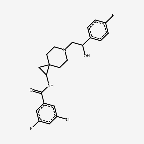 O=C(NC1CC12CCN(CC(O)c1ccc(F)cc1)CC2)c1cc(F)cc(Cl)c1